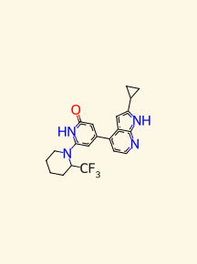 O=c1cc(-c2ccnc3[nH]c(C4CC4)cc23)cc(N2CCCCC2C(F)(F)F)[nH]1